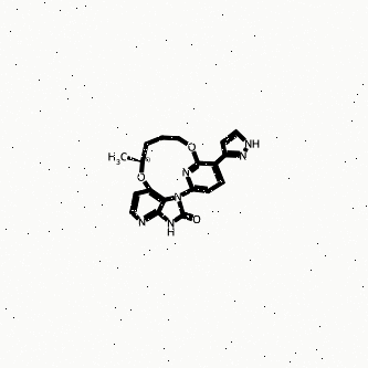 C[C@H]1CCCOc2nc(ccc2-c2cc[nH]n2)-n2c(=O)[nH]c3nccc(c32)O1